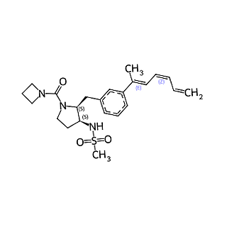 C=C/C=C\C=C(/C)c1cccc(C[C@H]2[C@@H](NS(C)(=O)=O)CCN2C(=O)N2CCC2)c1